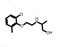 Cc1cccc(Cl)c1OCCNC(C)CO